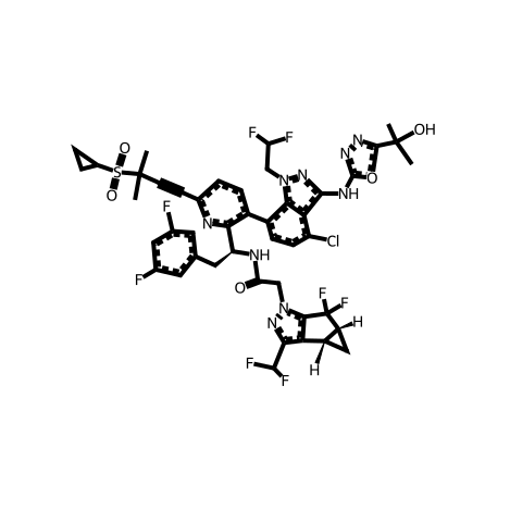 CC(C)(O)c1nnc(Nc2nn(CC(F)F)c3c(-c4ccc(C#CC(C)(C)S(=O)(=O)C5CC5)nc4[C@H](Cc4cc(F)cc(F)c4)NC(=O)Cn4nc(C(F)F)c5c4C(F)(F)[C@@H]4C[C@H]54)ccc(Cl)c23)o1